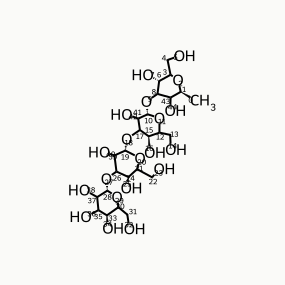 C[C@@H]1OC(CO)[C@@H](O)C(O[C@@H]2OC(CO)[C@@H](O)C(O[C@@H]3OC(CO)[C@@H](O)C(O[C@@H]4OC(CO)[C@@H](O)C(O)C4O)C3O)C2O)C1O